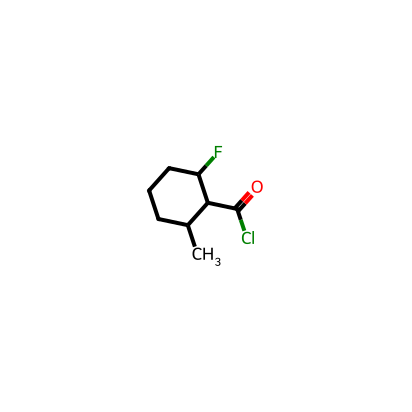 CC1CCCC(F)C1C(=O)Cl